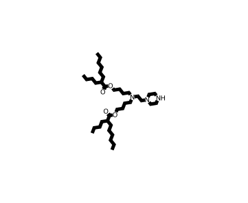 CCCCCCC(CCCC)C(=O)OCCCCN(CCCCOC(=O)C(CCCC)CCCCCC)CCN1CCNCC1